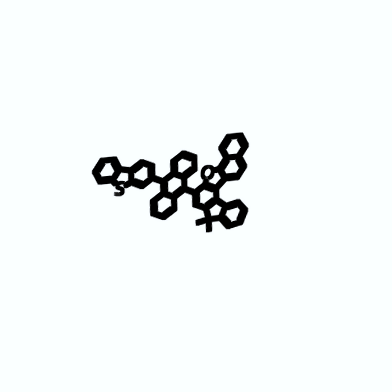 CC1(C)c2ccccc2-c2c1cc(-c1c3ccccc3c(-c3ccc4c(c3)sc3ccccc34)c3ccccc13)c1oc3c4ccccc4ccc3c21